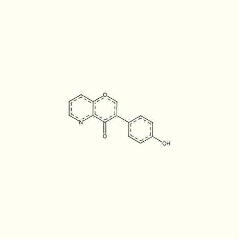 O=c1c(-c2ccc(O)cc2)coc2cccnc12